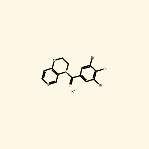 O=C(c1cc(Br)c([O-])c(Br)c1)N1CCOc2ccncc21.[K+]